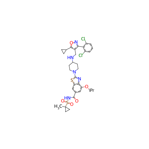 CC(C)Oc1cc(C(=O)NS(=O)(=O)C2(C)CC2)cc2sc(N3CCC(NCc4c(-c5c(Cl)cccc5Cl)noc4C4CC4)CC3)nc12